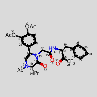 CC(=O)Oc1ccc(C2=CN(C(C)=O)[C@@H](C(C)C)C(=O)N2CC(=O)N[C@@H](Cc2ccccc2)C(=O)C(F)(F)F)cc1OC(C)=O